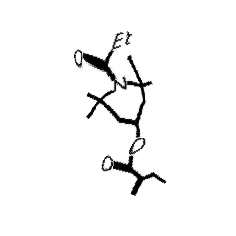 C=C(C)C(=O)OC1CC(C)(C)N(C(=O)CC)C(C)(C)C1